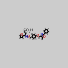 Cc1oc(-c2ccccc2)nc1COc1ccc(CO/N=C(\CCC(=O)O)c2ccco2)cc1